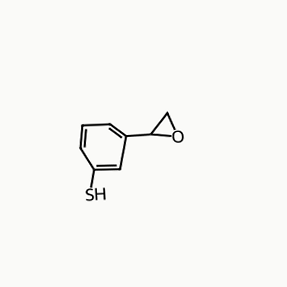 Sc1cccc(C2CO2)c1